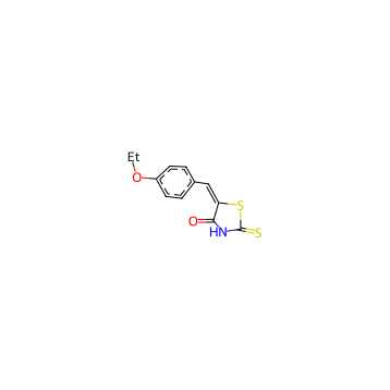 CCOc1ccc(/C=C2/SC(=S)NC2=O)cc1